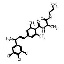 CC(NC(=O)C1C(C(F)(F)F)=CC(/C=C/C(c2cc(Cl)c(Cl)c(Cl)c2)C(F)(F)F)=CC1C)C(=O)NCCC(F)(F)F